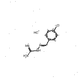 Cl.N=C(N)NN=Cc1ccc(Cl)cc1